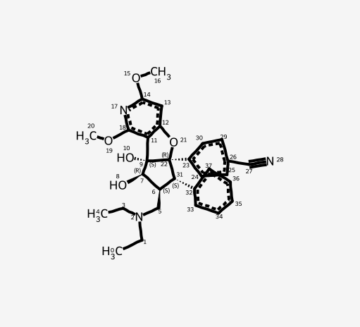 CCN(CC)C[C@H]1[C@@H](O)[C@@]2(O)c3c(cc(OC)nc3OC)O[C@@]2(c2ccc(C#N)cc2)[C@@H]1c1ccccc1